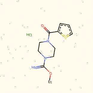 CCOC(=N)N1CCN(C(=O)c2cccs2)CC1.Cl